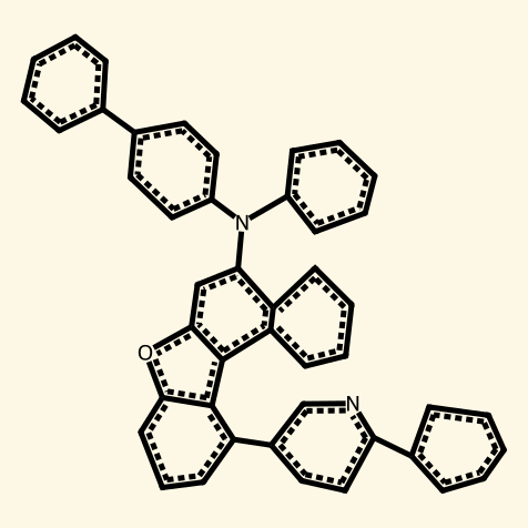 c1ccc(-c2ccc(N(c3ccccc3)c3cc4oc5cccc(-c6ccc(-c7ccccc7)nc6)c5c4c4ccccc34)cc2)cc1